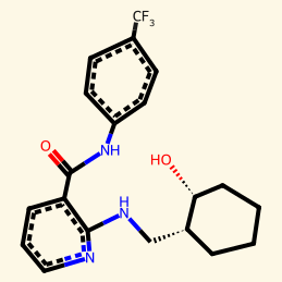 O=C(Nc1ccc(C(F)(F)F)cc1)c1cccnc1NC[C@H]1CCCC[C@H]1O